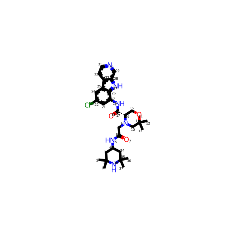 CC1(C)CC(NC(=O)CN2CC(C)(C)OC[C@H]2C(=O)Nc2cc(Cl)cc3c2[nH]c2cnccc23)CC(C)(C)N1